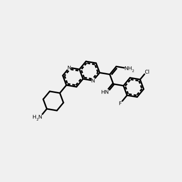 N=C(/C(=C\N)c1ccc2ncc(C3CCC(N)CC3)cc2n1)c1cc(Cl)ccc1F